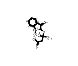 CC(C)(CC(=O)Cl)OC1C(=O)c2ccccc2[NH+]1[O-]